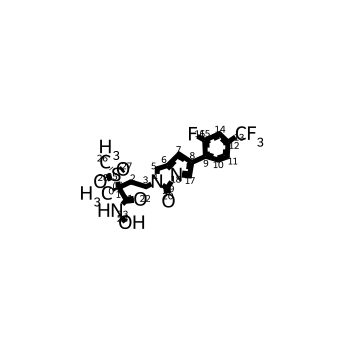 C[C@@](CCN1Cc2cc(-c3ccc(C(F)(F)F)cc3F)cn2C1=O)(C(=O)NO)S(C)(=O)=O